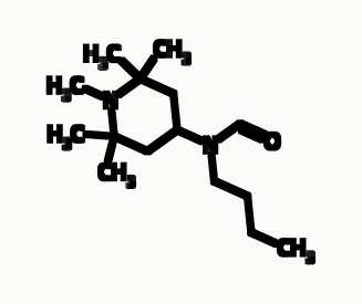 CCCCN(C=O)C1CC(C)(C)N(C)C(C)(C)C1